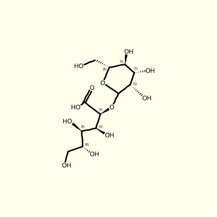 O=C(O)[C@@H](OC1O[C@H](CO)[C@@H](O)[C@H](O)[C@@H]1O)[C@@H](O)[C@H](O)[C@H](O)CO